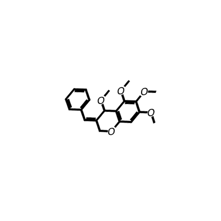 COc1cc2c(c(OC)c1OC)C(OC)C(=Cc1ccccc1)CO2